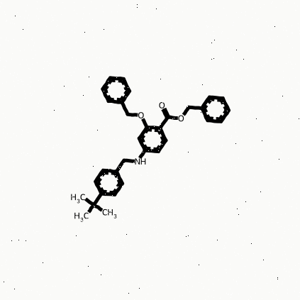 CC(C)(C)c1ccc(CNc2ccc(C(=O)OCc3ccccc3)c(OCc3ccccc3)c2)cc1